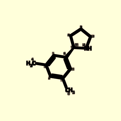 Cc1cc(C)cc([C@H]2CCCN2)c1